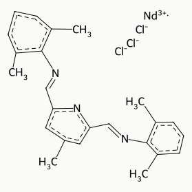 Cc1cc(C=Nc2c(C)cccc2C)nc(C=Nc2c(C)cccc2C)c1.[Cl-].[Cl-].[Cl-].[Nd+3]